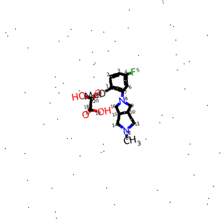 COc1ccc(F)cc1N1CC2CN(C)CC2C1.O=C(O)C(=O)O